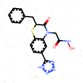 O=C(CN1C(=O)C(Cc2ccccc2)Sc2ccc(-c3nnn[nH]3)cc21)NO